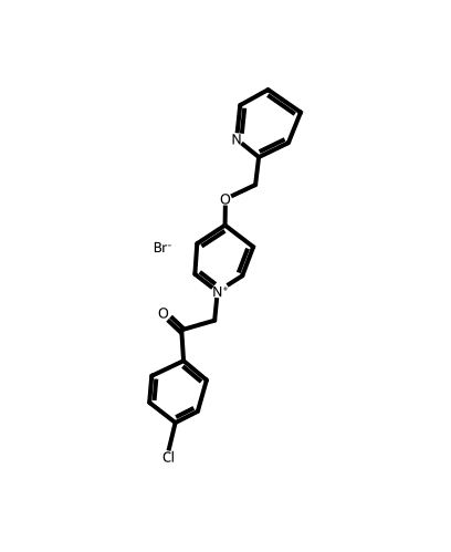 O=C(C[n+]1ccc(OCc2ccccn2)cc1)c1ccc(Cl)cc1.[Br-]